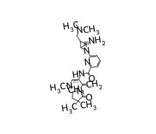 C=C(/C(=C\N(C)C)NC(=O)c1cccc(N2C3C(CN(C)C)[C@]32N)n1)N1CCC(C)(C)C1=O